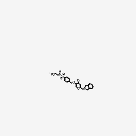 O=c1cc(CN2Cc3ccccc3C2)occ1OCc1ccc(S(=O)(=O)NCCO)cc1